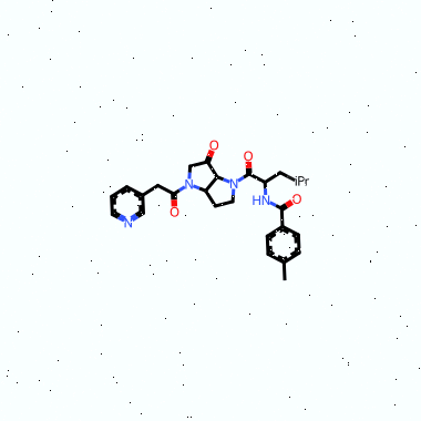 Cc1ccc(C(=O)NC(CC(C)C)C(=O)N2CCC3C2C(=O)CN3C(=O)Cc2cccnc2)cc1